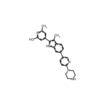 Cc1cc(-c2[nH]c3cc(-c4ccc(N5CCNCC5)nc4)ccc3c2C)cc(O)n1